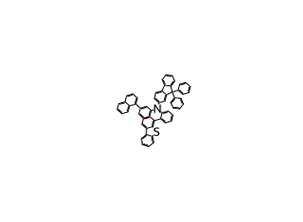 c1ccc(C2(c3ccccc3)c3ccccc3-c3ccc(N(c4cccc(-c5cccc6ccccc56)c4)c4ccccc4-c4cccc5c4sc4ccccc45)cc32)cc1